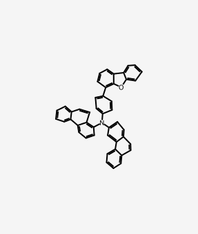 c1ccc2c(c1)ccc1ccc(N(c3ccc(-c4cccc5c4oc4ccccc45)cc3)c3cccc4c3ccc3ccccc34)cc12